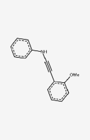 COc1ccccc1C#CNc1ccccc1